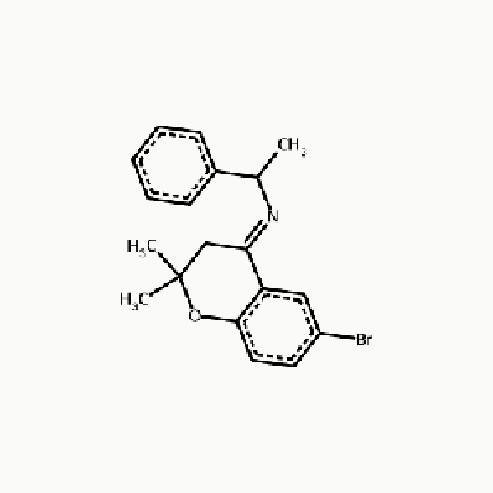 CC(N=C1CC(C)(C)Oc2ccc(Br)cc21)c1ccccc1